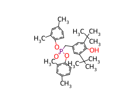 Cc1ccc(OP(=O)(Cc2cc(C(C)(C)C)c(O)c(C(C)(C)C)c2)Oc2ccc(C)cc2C)c(C)c1